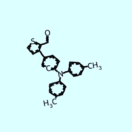 Cc1ccc(N(c2ccc(C)cc2)c2ccc(-c3ccsc3C=O)cc2)cc1